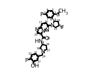 CSc1ccc(F)cc1[C@H]1C[C@H](F)CN1c1ccc2ncc(C(=O)N[C@H]3CCN(Cc4ccc(F)c(O)c4)C3)n2n1